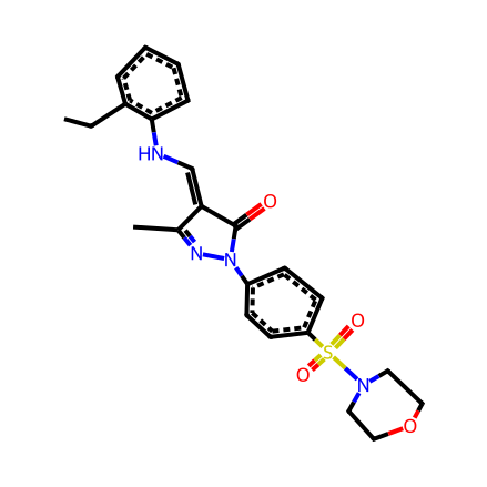 CCc1ccccc1NC=C1C(=O)N(c2ccc(S(=O)(=O)N3CCOCC3)cc2)N=C1C